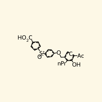 CCCc1c(COc2ccc([S+]([O-])c3ccc(C(=O)O)cc3)cc2)ccc(C(C)=O)c1O